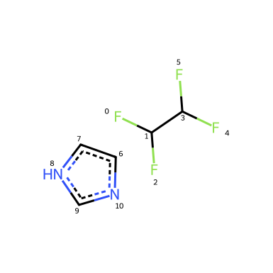 FC(F)C(F)F.c1c[nH]cn1